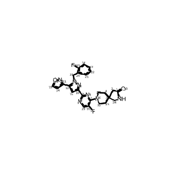 O=C1CC2(CCN(c3nc(-c4cc(-c5ccon5)n(Cc5ccccc5F)n4)ncc3F)CC2)CN1